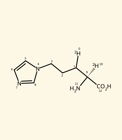 [2H]C(CCn1ccnc1)[C@]([2H])(N)C(=O)O